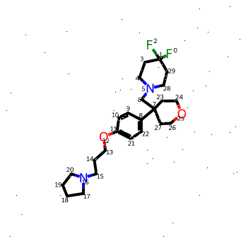 FC1(F)CCN(CC2(c3ccc(OCCCN4CCCC4)cc3)CCOCC2)CC1